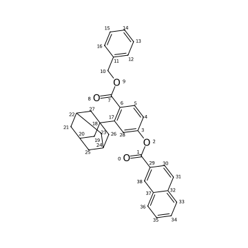 O=C(Oc1ccc(C(=O)OCc2ccccc2)c(C23CC4CC(CC(C4)C2)C3)c1)c1ccc2ccccc2c1